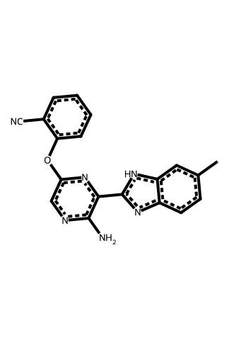 Cc1ccc2nc(-c3nc(Oc4ccccc4C#N)cnc3N)[nH]c2c1